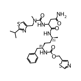 CC(C)c1nc(CN(C)C(=O)NC(CC(N)=O)C(=O)N[C@@H](C)CC[C@H](Cc2ccccc2)NC(=O)OCc2cncs2)cs1